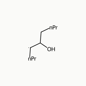 CCC[CH]C(O)CCCC